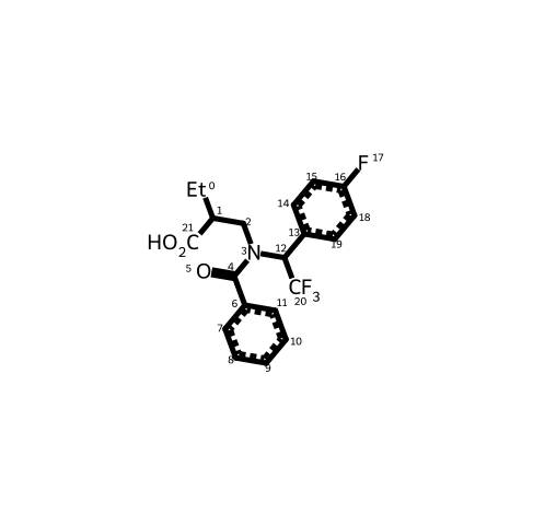 CCC(CN(C(=O)c1ccccc1)C(c1ccc(F)cc1)C(F)(F)F)C(=O)O